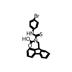 O=C(O)N(CC1c2ccccc2-c2ccccc21)C(=S)Nc1ccc(Br)cc1